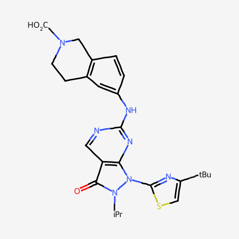 CC(C)n1c(=O)c2cnc(Nc3ccc4c(c3)CCN(C(=O)O)C4)nc2n1-c1nc(C(C)(C)C)cs1